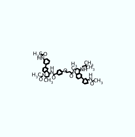 CC(=O)Nc1cccc(-c2ccc3c(c2)[C@H](NC(=O)c2ccc(OCCC(=O)N4c5ccc(-c6cccc(NC(C)=O)c6)cc5[C@H](NCC(C)C)C[C@@H]4C)cc2)C[C@H](C)N3C(C)=O)c1